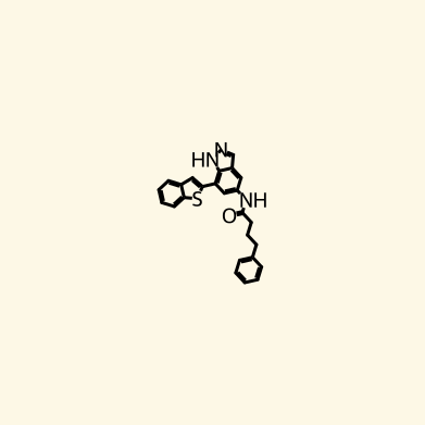 O=C(CCCc1ccccc1)Nc1cc(-c2cc3ccccc3s2)c2[nH]ncc2c1